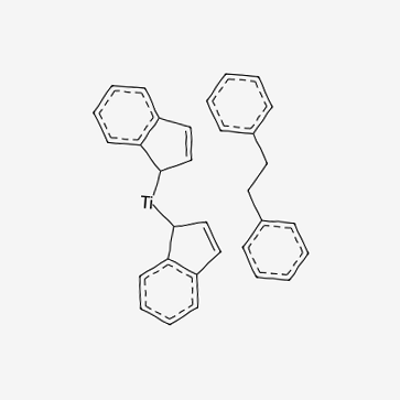 C1=C[CH]([Ti][CH]2C=Cc3ccccc32)c2ccccc21.c1ccc(CCc2ccccc2)cc1